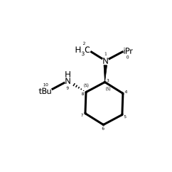 CC(C)N(C)[C@H]1CCCC[C@@H]1NC(C)(C)C